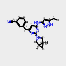 CCc1cc(Nc2cc(Cc3cccc(C#N)c3)nc(N3C[C@H]4C[C@H]4C3)n2)n[nH]1